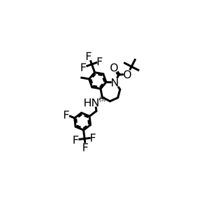 Cc1cc2c(cc1C(F)(F)F)N(C(=O)OC(C)(C)C)CCC[C@@H]2NCc1cc(F)cc(C(F)(F)F)c1